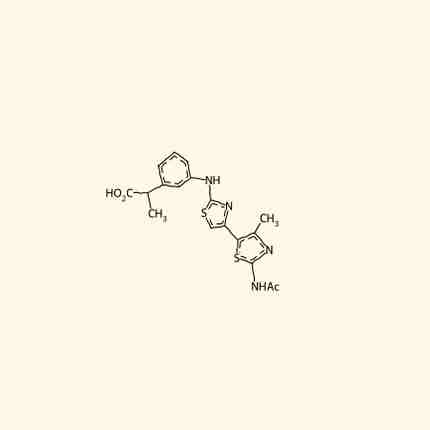 CC(=O)Nc1nc(C)c(-c2csc(Nc3cccc(C(C)C(=O)O)c3)n2)s1